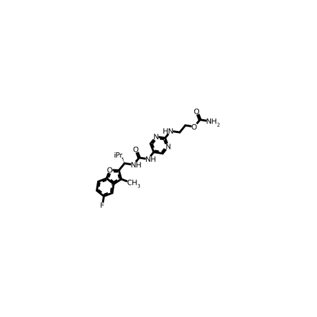 Cc1c([C@@H](NC(=O)Nc2cnc(NCCOC(N)=O)nc2)C(C)C)oc2ccc(F)cc12